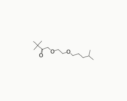 CC(C)CCCOCCOCC(=O)C(C)(C)C